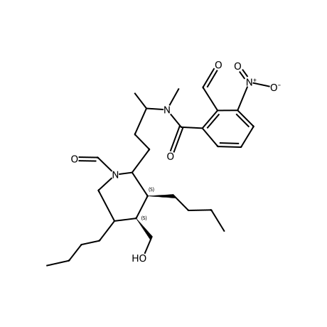 CCCCC1CN(C=O)C(CCC(C)N(C)C(=O)c2cccc([N+](=O)[O-])c2C=O)[C@@H](CCCC)[C@H]1CO